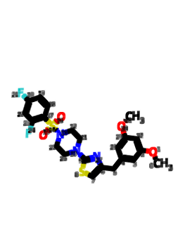 COc1cc(Cc2csc(N3CCN(S(=O)(=O)c4ccc(F)cc4F)CC3)n2)cc(OC)c1